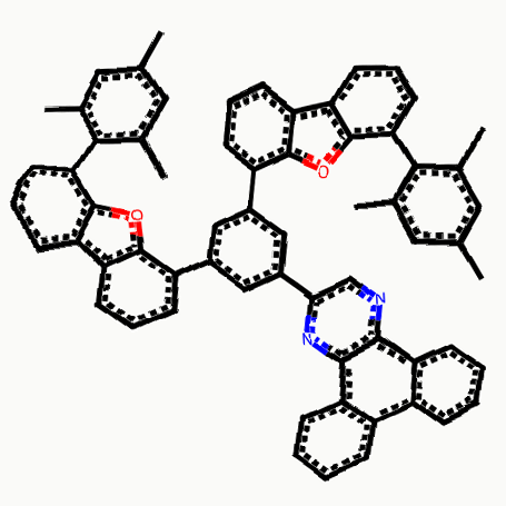 Cc1cc(C)c(-c2cccc3c2oc2c(-c4cc(-c5cnc6c7ccccc7c7ccccc7c6n5)cc(-c5cccc6c5oc5c(-c7c(C)cc(C)cc7C)cccc56)c4)cccc23)c(C)c1